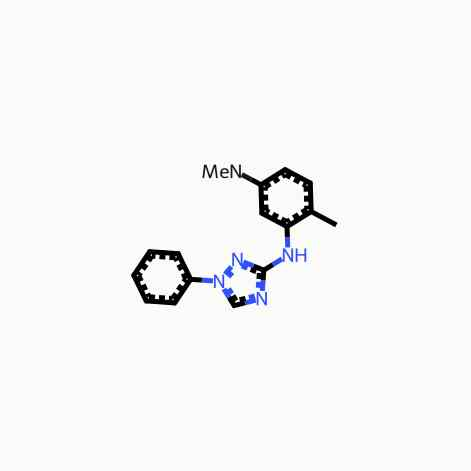 CNc1ccc(C)c(Nc2ncn(-c3ccccc3)n2)c1